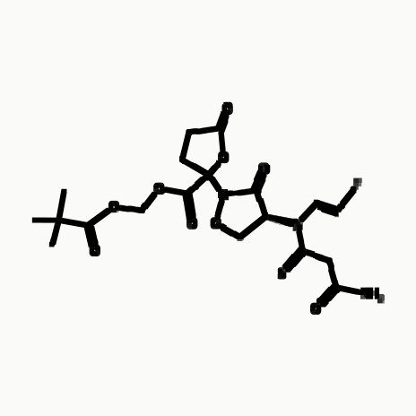 CC(C)(C)C(=O)OCOC(=O)C1(N2OC[C@H](N(C=CF)C(=S)CC(N)=O)C2=O)CCC(=O)O1